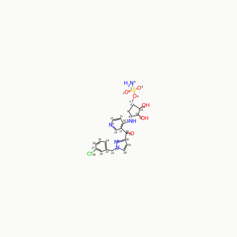 NS(=O)(=O)OC[C@H]1C[C@@H](Nc2ccncc2C(=O)c2ccn(Cc3cccc(Cl)c3)n2)[C@H](O)[C@@H]1O